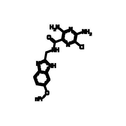 CCCOc1ccc2nc(CNC(=O)c3nc(Cl)c(N)nc3N)[nH]c2c1